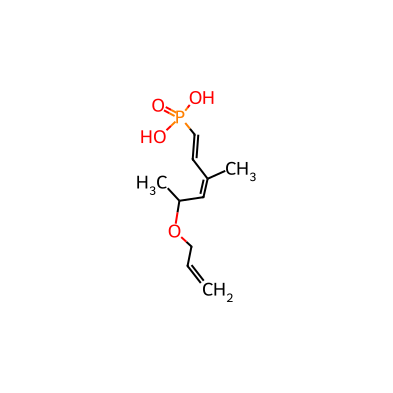 C=CCOC(C)C=C(C)C=CP(=O)(O)O